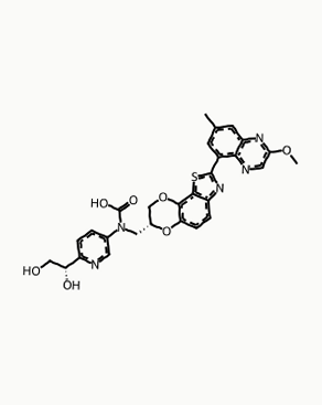 COc1cnc2c(-c3nc4ccc5c(c4s3)OC[C@@H](CN(C(=O)O)c3ccc([C@H](O)CO)nc3)O5)cc(C)cc2n1